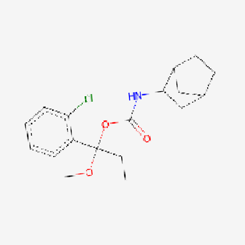 CCC(OC)(OC(=O)NC1CC2CCC1C2)c1ccccc1Cl